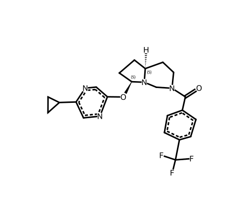 O=C(c1ccc(C(F)(F)F)cc1)N1CC[C@@H]2CC[C@H](Oc3cnc(C4CC4)cn3)N2C1